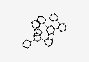 c1ccc(-c2cc(-c3ccccc3)nc(-c3cccc4oc5c(-c6ccccc6-c6ccccc6)cc(-c6ccccc6-c6ccccc6)cc5c34)c2)cc1